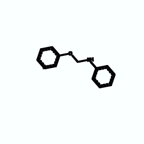 [c]1cccc(OCNc2ccccc2)c1